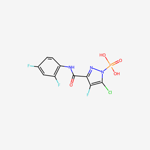 O=C(Nc1ccc(F)cc1F)c1nn(P(=O)(O)O)c(Cl)c1F